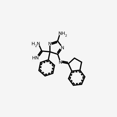 N=C(N)C1(c2ccccc2)N=C(N)N=C1N=C1CCc2ccccc21